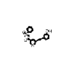 CS(=O)(=NC(=O)c1cncc(C#Cc2cccc(O)c2)c1)c1ccccc1